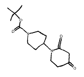 CC(C)(C)OC(=O)N1CCC(N2CCC(=O)CC2=O)CC1